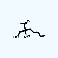 CCCCCC(O)(CO)C([O])=O